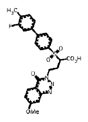 COc1ccc2c(=O)n(CCC(C(=O)O)S(=O)(=O)c3ccc(-c4ccc(C)c(F)c4)cc3)nnc2c1